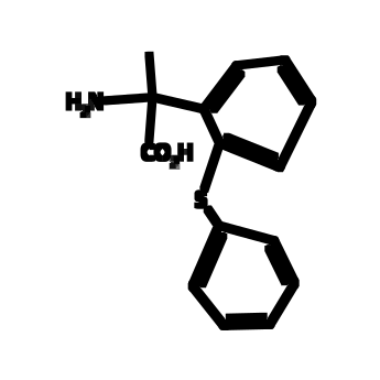 CC(N)(C(=O)O)c1ccccc1Sc1ccccc1